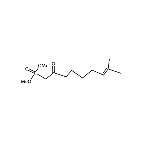 COP(=O)(CC(=O)CCCCC=C(C)C)OC